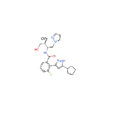 CO[C@H](CO)[C@@H](Cn1cccn1)NC(=O)c1cccc(F)c1-c1cc(C2CCCC2)[nH]n1